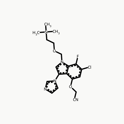 C[Si](C)(C)CCOCn1cc(-n2ccnc2)c2c(OCC#N)cc(Cl)c(F)c21